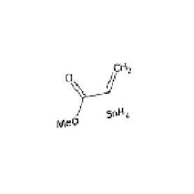 C=CC(=O)OC.[SnH4]